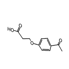 CC(=O)c1ccc(OCCC(=O)O)cc1